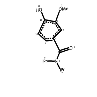 COc1cc(C(=O)N(C(C)C)C(C)C)ccc1O